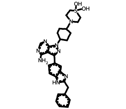 Nc1ncnc2c1c(-c1ccc3[nH]c(Cc4ccccc4)nc3c1)nn2C1CCC(N2CCS(O)(O)CC2)CC1